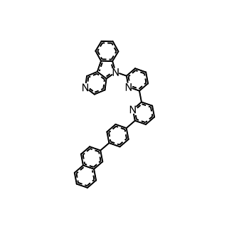 c1cc(-c2ccc(-c3ccc4ccccc4c3)cc2)nc(-c2cccc(-n3c4ccccc4c4cnccc43)n2)c1